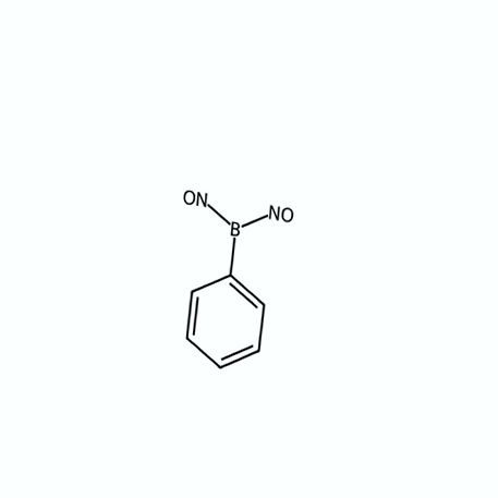 O=NB(N=O)c1ccccc1